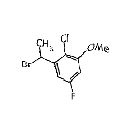 COc1cc(F)cc(C(C)Br)c1Cl